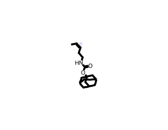 C/C=C\CCNC(=O)OC12CC3CC(CC(C3)C1)C2